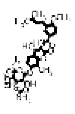 COc1ccc(C(=O)Nc2c(O)c3ccc(O[C@@H]4OC(C)(C)[C@H](OC)[C@@H](OC(N)=O)[C@H]4O)c(C)c3oc2=O)cc1CC=C(C)C